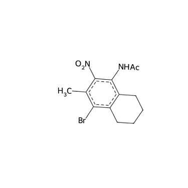 CC(=O)Nc1c2c(c(Br)c(C)c1[N+](=O)[O-])CCCC2